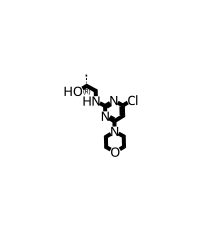 C[C@@H](O)CNc1nc(Cl)cc(N2CCOCC2)n1